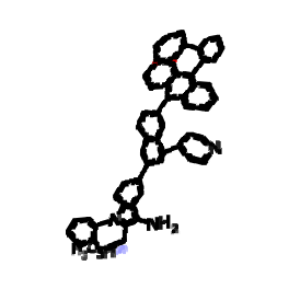 C/C=C\c1c(N)c2cc(-c3cc(-c4ccncc4)c4cc(-c5c6ccccc6c(-c6ccccc6-c6ccccc6)c6ccccc56)ccc4c3)ccc2n1-c1ccccc1S